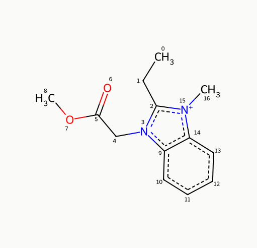 CCc1n(CC(=O)OC)c2ccccc2[n+]1C